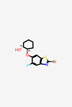 O[C@@H]1CCCC[C@H]1Oc1cc2sc(Br)nc2cc1F